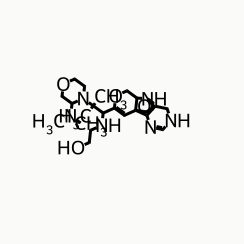 CN(C)C1COCCN1C(C)(C)C(NCCO)C1=CC23CCCNC2(CO1)OC1=C3N=CNC1